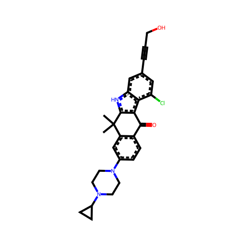 CC1(C)c2cc(N3CCN(C4CC4)CC3)ccc2C(=O)c2c1[nH]c1cc(C#CCO)cc(Cl)c21